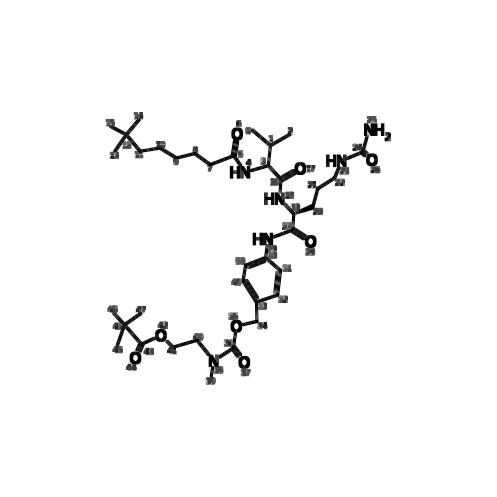 CC(C)C(NC(=O)CCCCCC(C)(C)C)C(=O)N[C@@H](CCCNC(N)=O)C(=O)Nc1ccc(COC(=O)N(C)CCOC(=O)C(C)(C)C)cc1